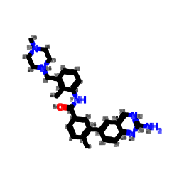 Cc1ccc(C(=O)Nc2cccc(CN3CCN(C)CC3)c2C)cc1-c1ccc2nc(N)ncc2c1